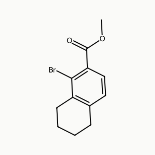 COC(=O)c1ccc2c(c1Br)CCCC2